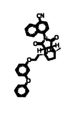 C[C@]12CC[C@](CCOc3cccc(Oc4ccccc4)c3)(O1)[C@@H]1C(=O)N(c3ccc(C#N)c4ccccc34)C(=O)[C@@H]12